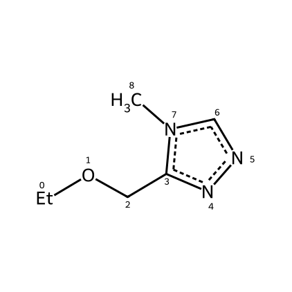 CCOCc1nncn1C